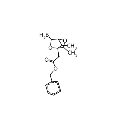 B[C@@H]1O[C@@]2(CC(=O)OCc3ccccc3)C(C)OC1C2C